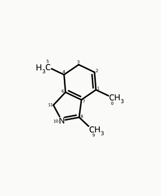 CC1=CCC(C)C2=C1C(C)=NC2